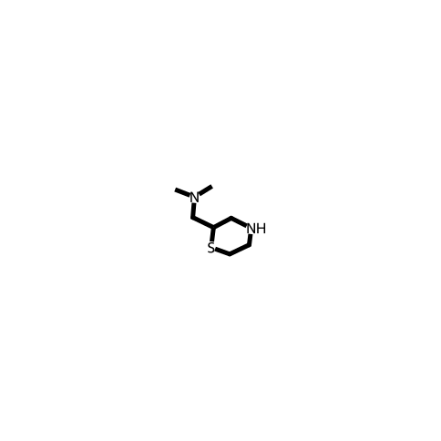 CN(C)CC1CNCCS1